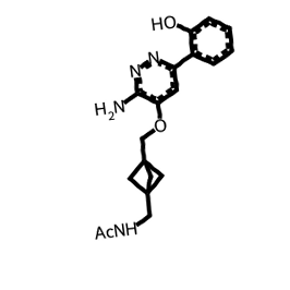 CC(=O)NCC12CC(COc3cc(-c4ccccc4O)nnc3N)(C1)C2